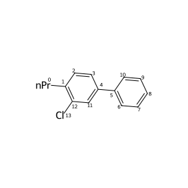 CCCc1ccc(-c2ccccc2)cc1Cl